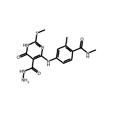 CNC(=O)c1ccc(Nc2nc(SC)[nH]c(=O)c2C(=O)NN)cc1C